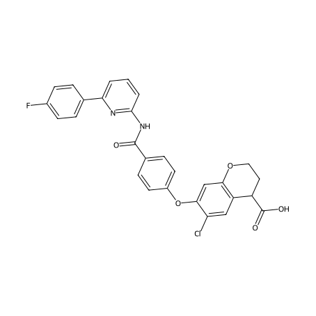 O=C(Nc1cccc(-c2ccc(F)cc2)n1)c1ccc(Oc2cc3c(cc2Cl)C(C(=O)O)CCO3)cc1